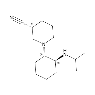 CC(C)N[C@H]1CCCC[C@@H]1N1CCC[C@@H](C#N)C1